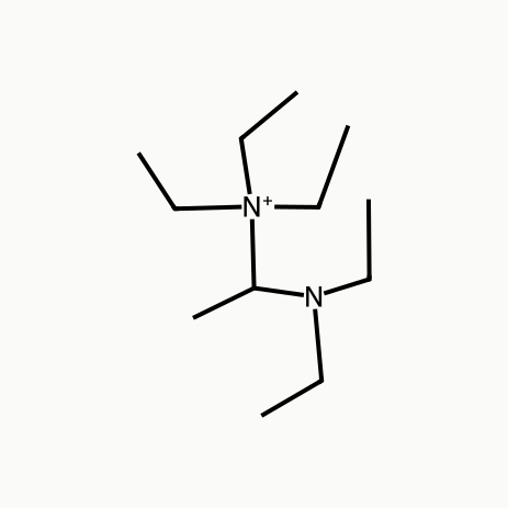 CCN(CC)C(C)[N+](CC)(CC)CC